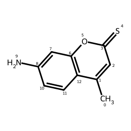 Cc1cc(=S)oc2cc(N)ccc12